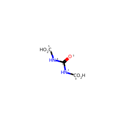 O=C(O)NC(=O)NC(=O)O